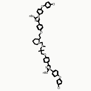 CCCCc1nc(-c2ccc(OCCC3CCCCN3CN(C)CC(C)(C)COc3ccc(-c4cn(-c5ccc(Oc6ccc(Cl)cc6)cc5)c(CCCC)n4)cc3)cc2)cn1-c1ccc(Oc2ccc(Cl)cc2)cc1